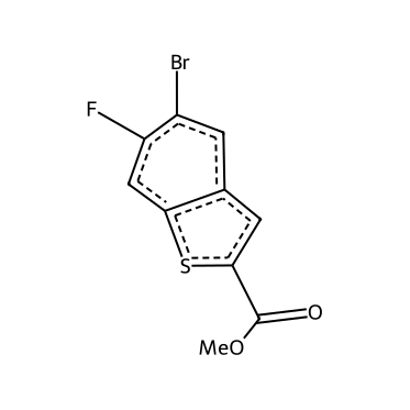 COC(=O)c1cc2cc(Br)c(F)cc2s1